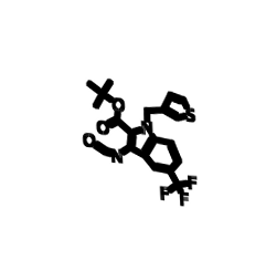 CC(C)(C)OC(=O)c1c(N=C=O)c2cc(C(F)(F)F)ccc2n1Cc1ccsc1